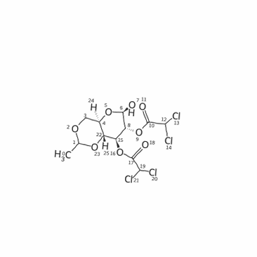 CC1OC[C@H]2O[C@@H](O)[C@H](OC(=O)C(Cl)Cl)[C@@H](OC(=O)C(Cl)Cl)[C@@H]2O1